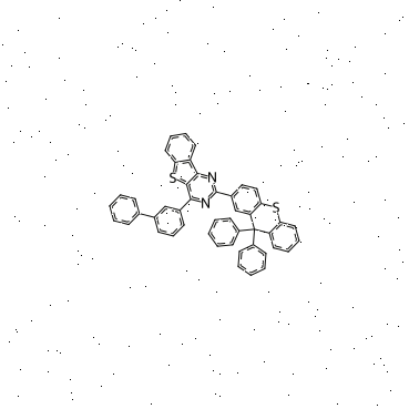 c1ccc(-c2cccc(-c3nc(-c4ccc5c(c4)C(c4ccccc4)(c4ccccc4)c4ccccc4S5)nc4c3sc3ccccc34)c2)cc1